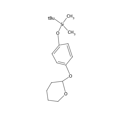 CC(C)(C)[Si](C)(C)Oc1ccc(OC2CCCCO2)cc1